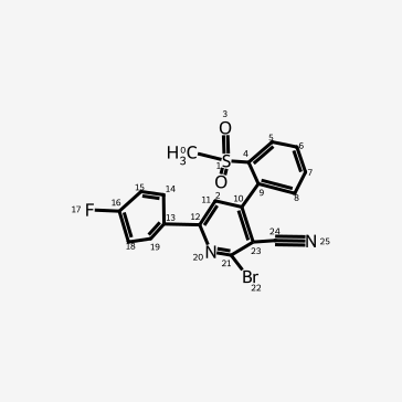 CS(=O)(=O)c1ccccc1-c1cc(-c2ccc(F)cc2)nc(Br)c1C#N